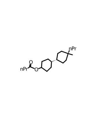 CCCC(=O)OC1CCC([C@H]2CC[C@](C)(CCC)CC2)CC1